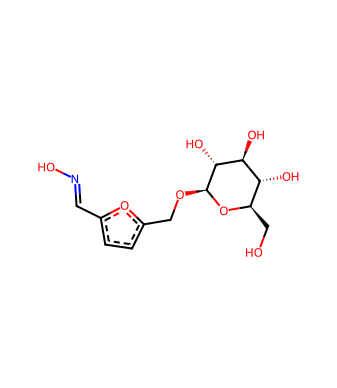 OC[C@H]1O[C@@H](OCc2ccc(C=NO)o2)[C@H](O)[C@@H](O)[C@@H]1O